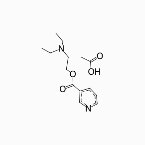 CC(=O)O.CCN(CC)CCOC(=O)c1cccnc1